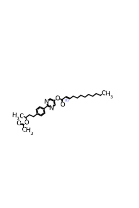 CCCCCCCCC/C=C/C(=O)Oc1cnc(-c2ccc(CCC(C)OC(C)=O)cc2)nc1